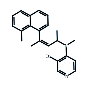 CCc1cnccc1N(C)C(C)/C=C(/C)c1cccc2cccc(C)c12